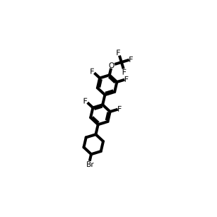 Fc1cc(-c2c(F)cc(C3CCC(Br)CC3)cc2F)cc(F)c1OC(F)(F)F